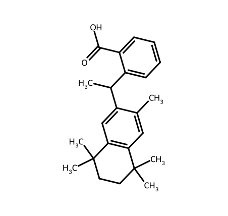 Cc1cc2c(cc1C(C)c1ccccc1C(=O)O)C(C)(C)CCC2(C)C